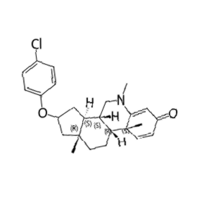 CN1C[C@@H]2[C@@H](CC[C@]3(C)CC(Oc4ccc(Cl)cc4)C[C@@H]23)[C@@]2(C)C=CC(=O)C=C12